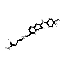 COC(=O)CCCNCc1ccc2cc(OC3CCC(C)(C)CC3)ccc2c1